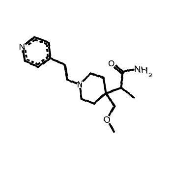 COCC1(C(C)C(N)=O)CCN(CCc2ccncc2)CC1